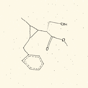 COC(=O)[C@@H](CO)C1C(C)C1Cc1ccccc1